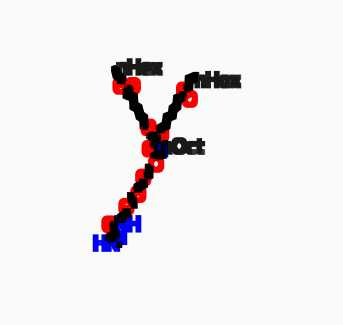 CCCCCC/C=C\COC(=O)CCCCCCCOCC(OCCCCCCCC(=O)OC/C=C\CCCCCC)C(=O)N(CCCCCCCC)CCOCCOCCOCCOCCNC(=O)c1c[nH]cn1